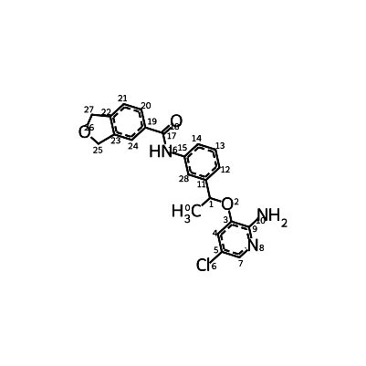 CC(Oc1cc(Cl)cnc1N)c1cccc(NC(=O)c2ccc3c(c2)COC3)c1